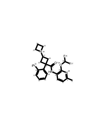 Cc1ccc(NC(=O)C2(c3ccccc3C(C)C)CC(N3CCC3)C2)c(OC(F)F)n1